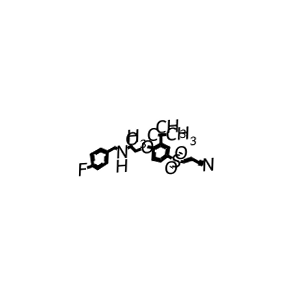 CC(C)(C)c1cc(S(=O)(=O)C=CC#N)ccc1OCC(=O)NCc1ccc(F)cc1